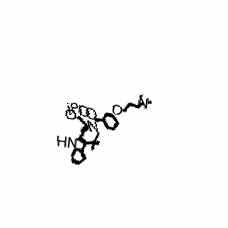 CC(C)OC(=O)C1=Cc2[nH]c3ccccc3c2C(C)(C)CN1C(=O)c1cccc(OCCCN(C)C)c1